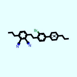 CCCc1ccc(CCc2ccc(C34CCC(CCC)(CC3)CC4)cc2Br)c(C#N)c1C#N